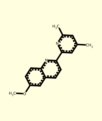 COc1ccc2nc(-c3cc(C)cc(C)n3)ccc2c1